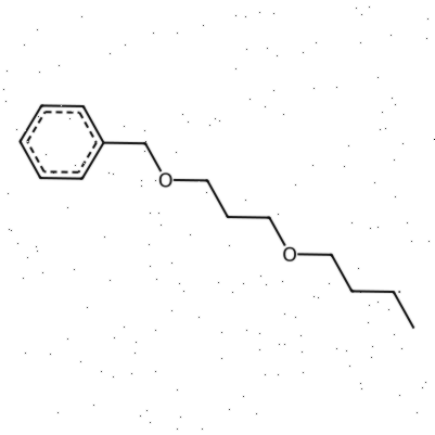 C[CH]CCOCCCOCc1ccccc1